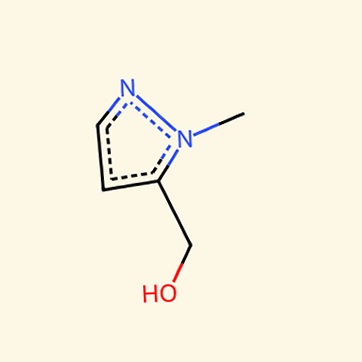 Cn1nccc1CO